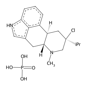 CC(C)[C@@]1(Cl)C[C@@H]2c3cccc4[nH]cc(c34)C[C@H]2N(C)C1.O=P(O)(O)O